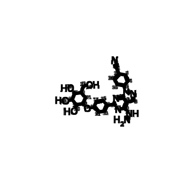 N#Cc1ccc(-n2ncc3c(NN)nc(-c4ccc(OC5CC(CO)C(O)C(O)C5O)cc4)nc32)cc1